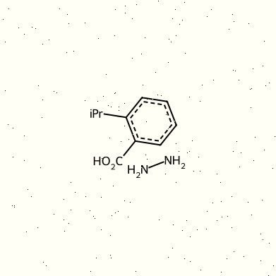 CC(C)c1ccccc1C(=O)O.NN